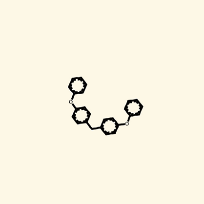 c1ccc(Oc2ccc(Cc3ccc(Oc4ccccc4)cc3)cc2)cc1